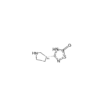 O=c1[nH]c([C@@H]2CCNC2)ns1